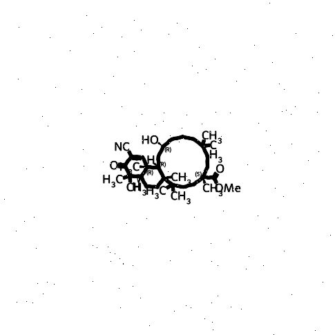 COC(=O)[C@@]1(C)CCC(C)(C)CCC[C@@H](O)C[C@@H]2[C@@]3(C)C=C(C#N)C(=O)C(C)(C)[C@@H]3CC[C@@]2(C)C(C)(C)CC1